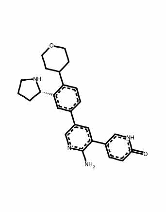 Nc1ncc(-c2ccc(C3CCOCC3)c([C@@H]3CCCN3)c2)cc1-c1ccc(=O)[nH]c1